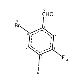 O=Cc1cc(F)c(I)cc1Br